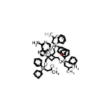 CC(C)C[Si](OCC1CC(CO[Si](CC(C)C)(c2ccccc2)c2ccccc2)(n2cnc3c(N)ncnc32)C1(O)CO[Si](CC(C)C)(c1ccccc1)c1ccccc1)(c1ccccc1)c1ccccc1